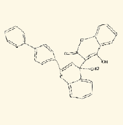 O=CC1(c2c(O)c3ccccc3oc2=O)C=C(c2ccc(-c3ccccc3)cc2)Cc2ccccc21